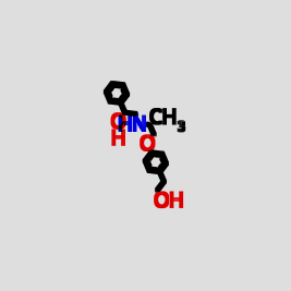 CC(COc1ccc(CCO)cc1)NC[C@@H](O)c1ccccc1